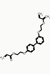 C=CC(=C)OCCOc1cccc(-c2ccc(OCCOC(=O)C=C)cc2)c1